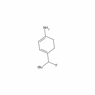 CC(C)(C)C(F)C1=CC=C(N)CC1